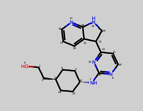 OCC[C@H]1CC[C@H](Nc2nccc(C3CNc4ncccc43)n2)CC1